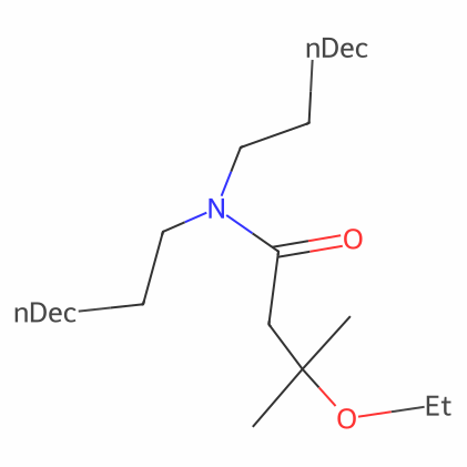 CCCCCCCCCCCCN(CCCCCCCCCCCC)C(=O)CC(C)(C)OCC